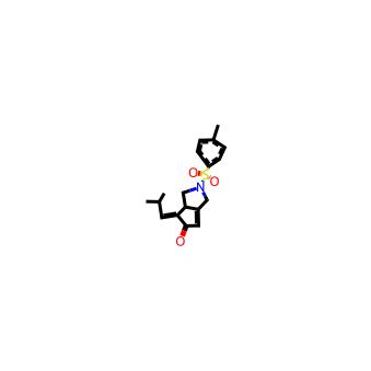 Cc1ccc(S(=O)(=O)N2CC3=CC(=O)C(=CC(C)C)C3C2)cc1